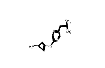 CC(C)Cc1cnc(O[C@H]2C[C@H](N)C2)cn1